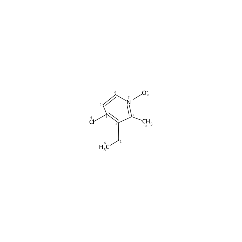 CCc1c(Cl)cc[n+]([O-])c1C